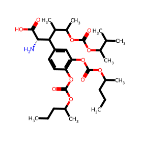 CCCC(C)OC(=O)Oc1ccc(C(C(C)C(C)OC(=O)OC(C)C(C)C)[C@H](N)C(=O)O)cc1OC(=O)OC(C)CCC